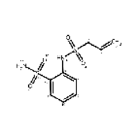 C=CCS(=O)(=O)Nc1ccccc1S(N)(=O)=O